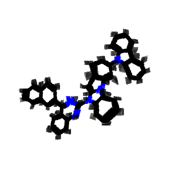 c1ccc2cc(-c3nc(-n4c5ccccc5n5c6cc(-n7c8ccccc8c8ccccc87)ccc6cc45)nc4ccccc34)ccc2c1